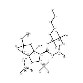 CCCCCC(C)(C=C(O[SiH](C)C)[C@H]1[C@H](C(C)(C)C)C[C@@]2(O[SiH](C)C)C3OC3(CO)C[C@@H]12)C(C)(C)C